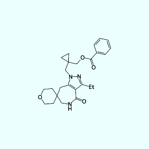 CCc1nn(CC2(COC(=O)c3ccccc3)CC2)c2c1C(=O)NCC1(CCOCC1)C2